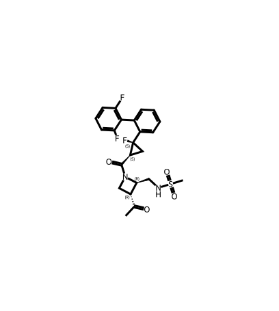 CC(=O)[C@@H]1CN(C(=O)[C@@H]2C[C@@]2(F)c2ccccc2-c2c(F)cccc2F)[C@H]1CNS(C)(=O)=O